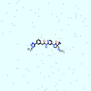 C=NC[C@@]1(C2CC2)CCN(c2ccnc(NC(=O)Cc3cccc(-c4cn(C)nn4)c3)c2)C1=O